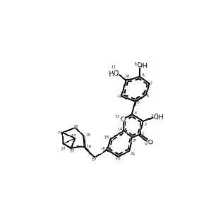 O=c1c(O)c(-c2ccc(O)c(O)c2)oc2cc(CC3CCC4C5C3C45)ccc12